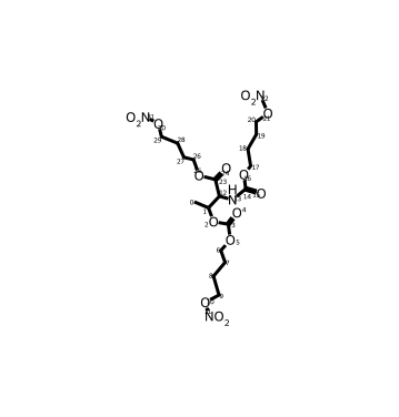 CC(OC(=O)OCCCCO[N+](=O)[O-])C(NC(=O)OCCCCO[N+](=O)[O-])C(=O)OCCCCO[N+](=O)[O-]